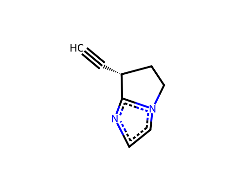 C#C[C@@H]1CCn2ccnc21